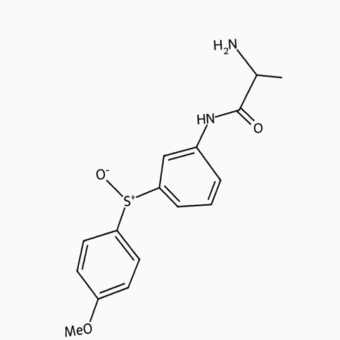 COc1ccc([S+]([O-])c2cccc(NC(=O)C(C)N)c2)cc1